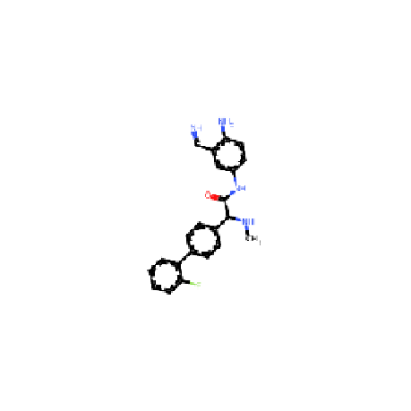 CNC(C(=O)Nc1ccc(N)c(C=N)c1)c1ccc(-c2ccccc2F)cc1